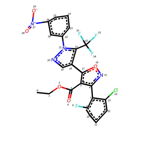 CCOC(=O)c1c(-c2c(F)cccc2Cl)noc1-c1cnn(-c2cccc([N+](=O)[O-])c2)c1C(F)(F)F